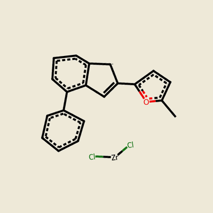 Cc1ccc(C2=Cc3c(cccc3-c3ccccc3)[CH]2)o1.[Cl][Zr][Cl]